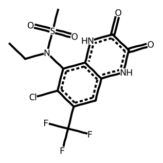 CCN(c1c(Cl)c(C(F)(F)F)cc2[nH]c(=O)c(=O)[nH]c12)S(C)(=O)=O